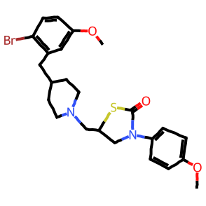 COc1ccc(N2CC(CN3CCC(Cc4cc(OC)ccc4Br)CC3)SC2=O)cc1